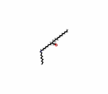 CCCCCCCC/C=C\CCCCCCCCC(C[C]=O)CCCCCCCCCCCCC